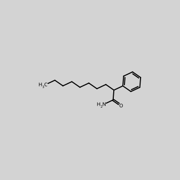 CCCCCCCCC(C(N)=O)c1ccccc1